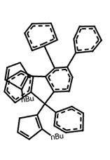 CCCCC1=C(c2c(C(C3=C(CCCC)C=CC3)(c3ccccc3)c3ccccc3)ccc(-c3ccccc3)c2-c2ccccc2)CC=C1